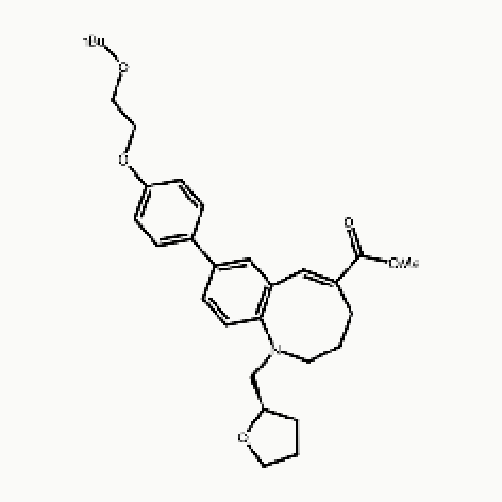 CCCCOCCOc1ccc(-c2ccc3c(c2)/C=C(/C(=O)OC)CCCN3C[C@H]2CCCO2)cc1